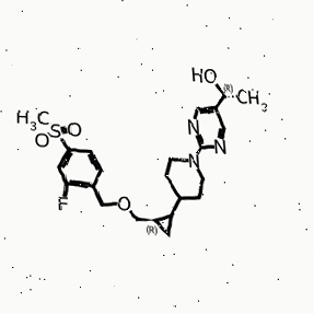 C[C@@H](O)c1cnc(N2CCC(C3C[C@H]3COCc3ccc(S(C)(=O)=O)cc3F)CC2)nc1